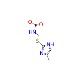 Cc1c[nH]c(SCNC([O])=O)n1